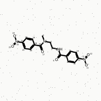 CN(CCNC(=O)c1ccc([N+](=O)[O-])cc1)C(=O)c1ccc([N+](=O)[O-])cc1